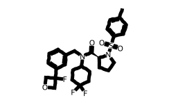 Cc1ccc(S(=O)(=O)N2CCC[C@H]2C(=O)N(Cc2cccc(C3(F)COC3)c2)C2CCC(F)(F)CC2)cc1